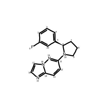 Fc1cccc([C@H]2CCCN2c2ccc3nccn3n2)c1